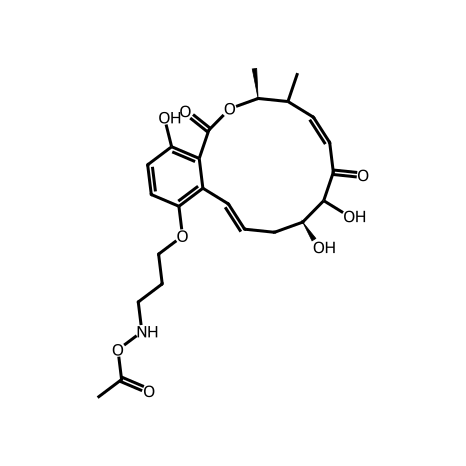 CC(=O)ONCCCOc1ccc(O)c2c1/C=C/C[C@H](O)C(O)C(=O)/C=C\C(C)[C@H](C)OC2=O